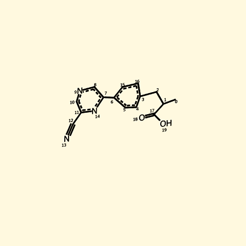 CC(Cc1ccc(-c2cncc(C#N)n2)cc1)C(=O)O